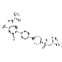 CC(=O)Nc1nc(-c2ccc(N3CCN(S(=O)(=O)CC(C)C)CC3)cc2)c(Cl)cc1C